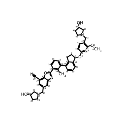 COc1nc(O[C@@H]2CCc3c(-c4cccc(-c5nc6cc(CN7CC[C@@H](O)C7)cc(C#N)c6o5)c4C)cccc32)ccc1CN1CC[C@@H](O)C1